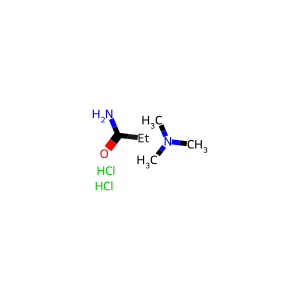 CCC(N)=O.CN(C)C.Cl.Cl